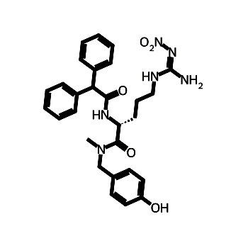 CN(Cc1ccc(O)cc1)C(=O)[C@@H](CCCN/C(N)=N\[N+](=O)[O-])NC(=O)C(c1ccccc1)c1ccccc1